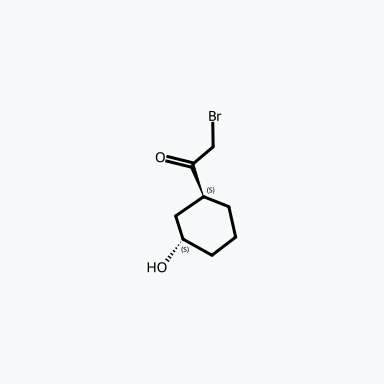 O=C(CBr)[C@H]1CCC[C@H](O)C1